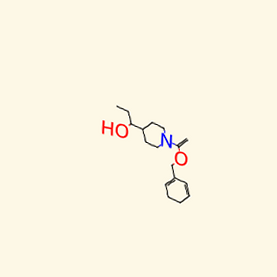 C=C(OCC1=CCCC=C1)N1CCC(C(O)CC)CC1